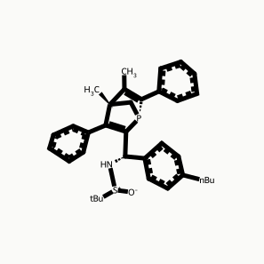 CCCCc1ccc([C@H](N[S+]([O-])C(C)(C)C)C2=C(c3ccccc3)[C@@]3(C)C[P@]2C(c2ccccc2)=C3C)cc1